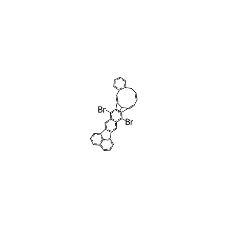 CC1/C2=C\C=C/Cc3ccccc3/C=C\1c1c2c(Br)c2cc3c(cc2c1Br)-c1cccc2cccc-3c12